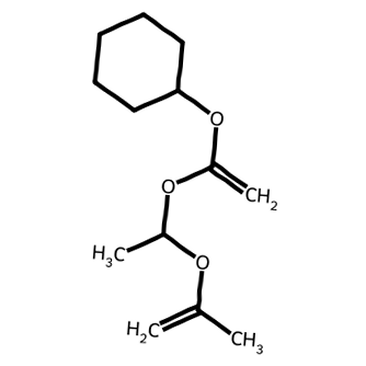 C=C(C)OC(C)OC(=C)OC1CCCCC1